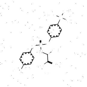 CC[C@@H](C)OC(=O)[C@H](C)NP(=O)(Oc1ccc([N+](=O)[O-])cc1)Oc1ccc([Si](C)(C)C)cc1